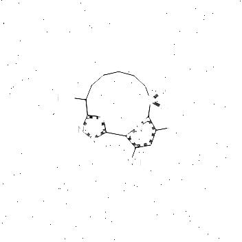 Nc1cc(C(F)(F)F)c2nc1-c1nnc(o1)C(C(F)(F)F)CCCCCS2(=O)=O